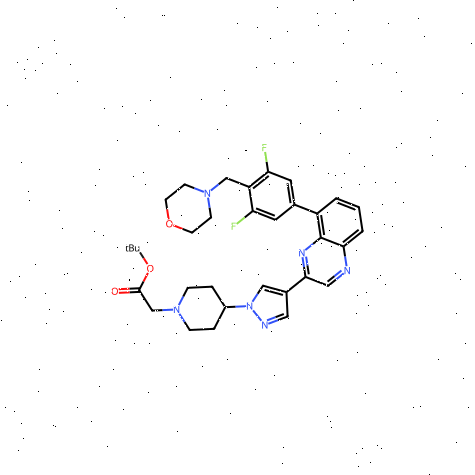 CC(C)(C)OC(=O)CN1CCC(n2cc(-c3cnc4cccc(-c5cc(F)c(CN6CCOCC6)c(F)c5)c4n3)cn2)CC1